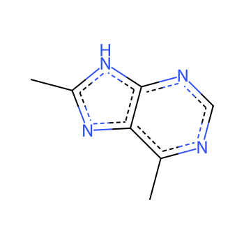 Cc1nc2c(C)ncnc2[nH]1